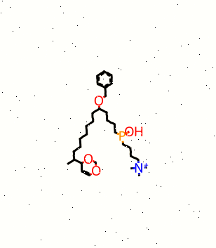 CC(CCCCCCCC(CCCCP(O)CCCC[N+](C)(C)C)OCc1ccccc1)C1C=COCO1